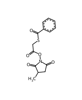 CC1CC(=O)N(OC(=O)CSC(=O)c2ccccc2)C1=O